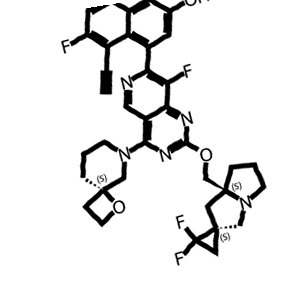 C#Cc1c(F)ccc2cc(O)cc(-c3ncc4c(N5CCC[C@]6(CCO6)C5)nc(OC[C@@]56CCCN5C[C@@]5(CC5(F)F)C6)nc4c3F)c12